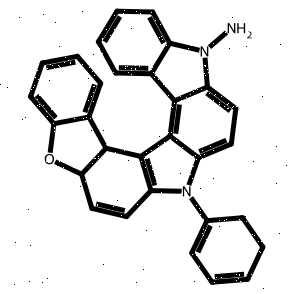 Nn1c2ccccc2c2c3c4c(n(C5=CC=CCC5)c3ccc21)C=CC1Oc2ccccc2C41